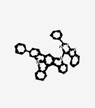 c1ccc(-c2ccc3c4cc5c(c6ccccc6n5-c5nc(-c6ccccc6)nc6sc7ccccc7c56)c5c6ccccc6n(c3c2)c45)cc1